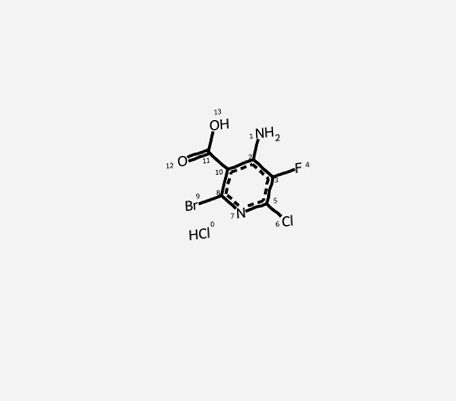 Cl.Nc1c(F)c(Cl)nc(Br)c1C(=O)O